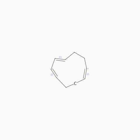 [C]1=C\CC/C=C\C=C\CC/1